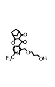 O=C(c1ccc(C(F)(F)F)nc1COCCCO)C1C(=O)C2CCC(C2)C1=O